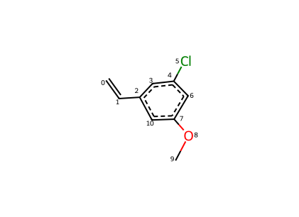 C=Cc1cc(Cl)cc(OC)c1